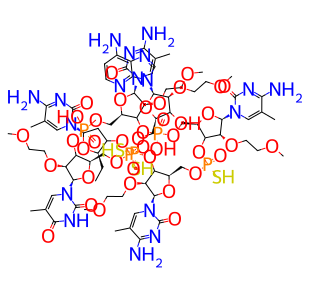 CC[C@H]1O[C@@H](n2cc(C)c(N)nc2=O)CC1OP(=O)(S)OC[C@H]1O[C@@H](n2cc(C)c(=O)[nH]c2=O)[C@@H](OCCOC)C1OP(=O)(O)OC[C@H]1O[C@@H](n2cc(C)c(N)nc2=O)[C@@H](OCCOC)C1OP(=O)(O)OC[C@H]1O[C@@H](n2cc(C)c(N)nc2=O)[C@@H](OCCOC)C1OP(=O)(S)OC[C@H]1O[C@@H](n2cc(C)c(N)nc2=O)[C@@H](OCCOC)C1OP(=O)(S)OC[C@H]1O[C@@H](n2cnc3c(N)ccnc32)[C@@H](OCCOC)C1O